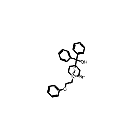 OC(c1ccccc1)(c1ccccc1)C12CC[N+](CCOc3ccccc3)(CC1)CC2.[Br-]